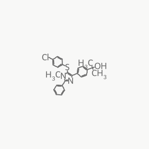 Cn1c(-c2ccccc2)nc(-c2ccc(C(C)(C)O)cc2)c1Sc1ccc(Cl)cc1